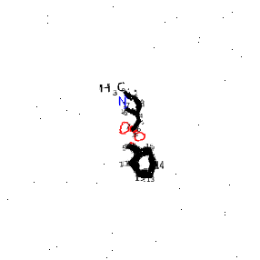 Cc1ccc(CC(=O)OCc2ccccc2)cn1